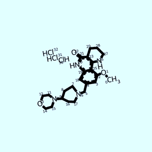 COc1cc(CN2CCC(N3CCOCC3)CC2)cc2[nH]c(=O)c3c(c12)NCCC3.Cl.Cl.Cl